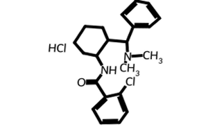 CN(C)C(c1ccccc1)C1CCCCC1NC(=O)c1ccccc1Cl.Cl